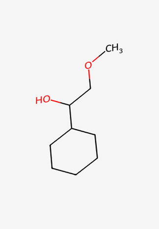 COCC(O)C1CCCCC1